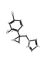 Clc1ccc(C2(Cn3cncn3)CO2)c(Cl)c1